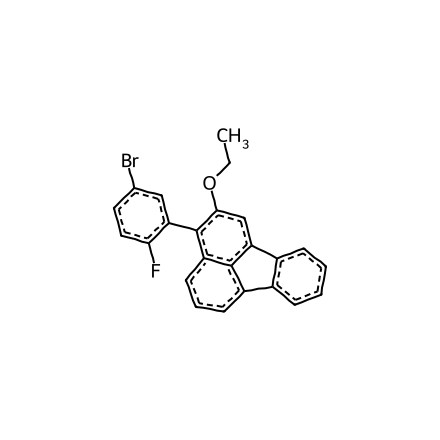 CCOc1cc2c3c(cccc3c1-c1cc(Br)ccc1F)-c1ccccc1-2